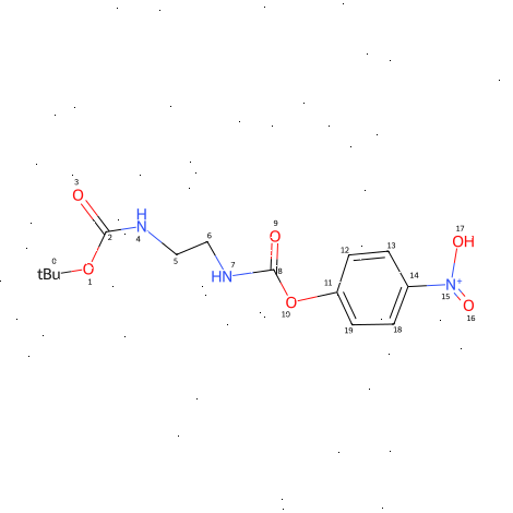 CC(C)(C)OC(=O)NCCNC(=O)Oc1ccc([N+](=O)O)cc1